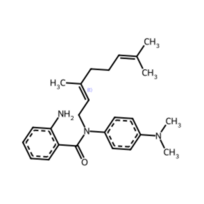 CC(C)=CCC/C(C)=C/CN(C(=O)c1ccccc1N)c1ccc(N(C)C)cc1